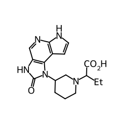 CCC(C(=O)O)N1CCCC(n2c(=O)[nH]c3cnc4[nH]ccc4c32)C1